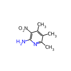 Cc1nc(N)c([N+](=O)[O-])c(C)c1C